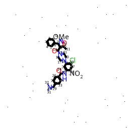 COc1ccccc1-c1noc(C)c1C(=O)N1CCN(c2cc(NC(=O)c3ccc(CN(C)C)cc3)c([N+](=O)[O-])cc2Cl)CC1